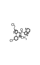 COc1ccc(Cl)cc1-c1nn(CCCl)cc1NC(=O)c1cnn2cccnc12